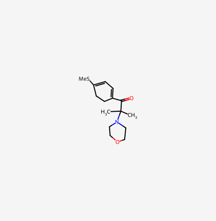 CSC1=CC=C(C(=O)C(C)(C)N2CCOCC2)CC1